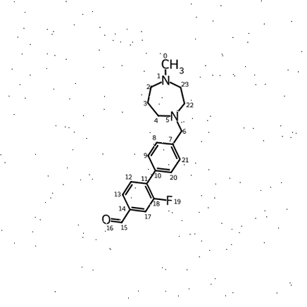 CN1CCCN(Cc2ccc(-c3ccc(C=O)cc3F)cc2)CC1